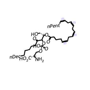 CCCCC/C=C\C/C=C\C/C=C\C/C=C\CCCC(=O)O[C@@H](CO)C(OP(=O)(O)OC[C@H](N)C(=O)O)C(=O)CCCCCCCCCCCCCCC